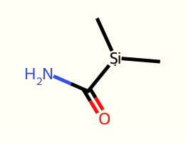 C[Si](C)C(N)=O